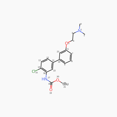 CN(C)CCOc1cccc(-c2ccc(Cl)c(NC(=O)OC(C)(C)C)c2)c1